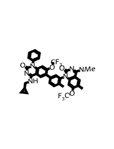 CNc1nc(=O)n(-c2cc(-c3cc4c(NCC5CC5)nc(=O)n(-c5ccccc5)c4cc3OC(F)(F)F)ccc2C)c2cc(OC(F)(F)F)c(C)cc12